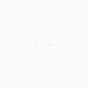 O=C(NCC1(c2ncco2)CCCC1)C1=Nc2ccccc2S(=O)(=O)N1